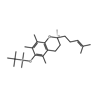 CC(C)=CCC[C@@]1(C)CCc2c(C)c(O[Si](C)(C)C(C)(C)C)c(C)c(C)c2O1